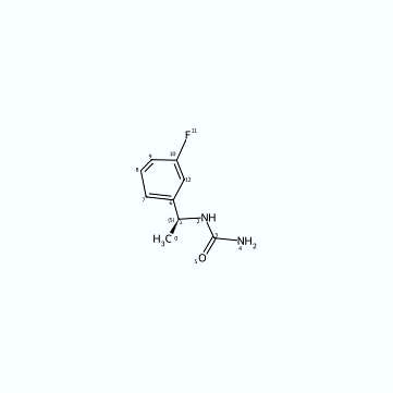 C[C@H](NC(N)=O)c1cccc(F)c1